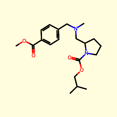 COC(=O)c1ccc(CN(C)CC2CCCN2C(=O)OCC(C)C)cc1